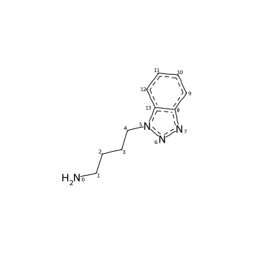 NCCCCn1nnc2ccccc21